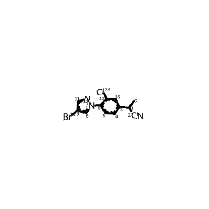 CC(C#N)c1ccc(-n2cc(Br)cn2)c(Cl)c1